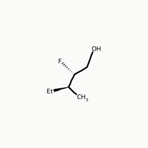 CC[C@H](C)[C@H](F)CO